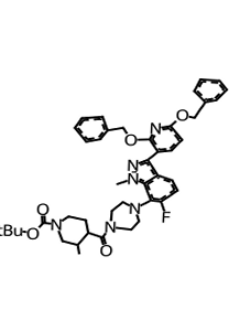 CC1CN(C(=O)OC(C)(C)C)CCC1C(=O)N1CCN(c2c(F)ccc3c(-c4ccc(OCc5ccccc5)nc4OCc4ccccc4)nn(C)c23)CC1